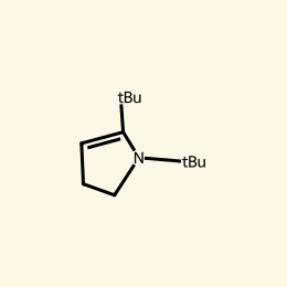 CC(C)(C)C1=CCCN1C(C)(C)C